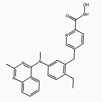 CCc1ccc(N(C)c2nc(C)nc3ccccc23)cc1Cc1ccc(C(=O)NO)nc1